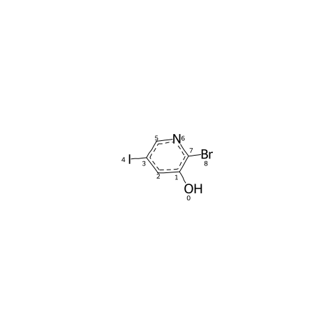 Oc1cc(I)cnc1Br